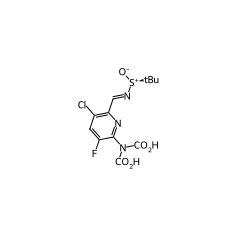 CC(C)(C)[S@+]([O-])/N=C/c1nc(N(C(=O)O)C(=O)O)c(F)cc1Cl